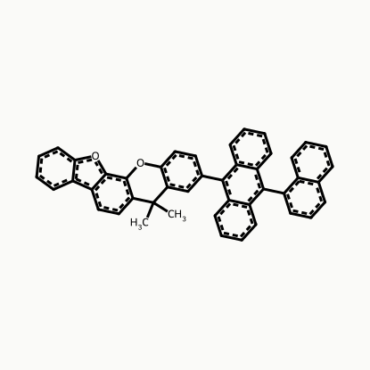 CC1(C)c2cc(-c3c4ccccc4c(-c4cccc5ccccc45)c4ccccc34)ccc2Oc2c1ccc1c2oc2ccccc21